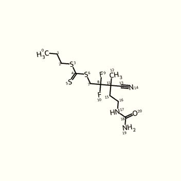 CCCSC(=S)SCC(F)(F)C(C)(C#N)CCNC(N)=O